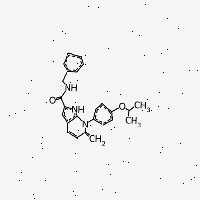 C=C1C=Cc2cc(C(=O)NCc3ccccc3)[nH]c2N1c1ccc(OC(C)C)cc1